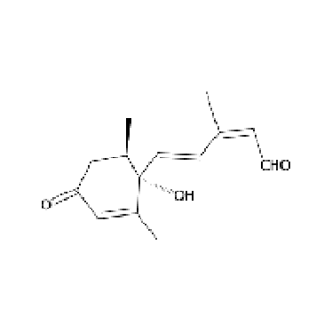 CC1=CC(=O)C[C@@H](C)[C@@]1(O)/C=C/C(C)=C\C=O